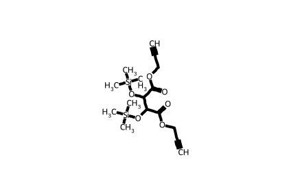 C#CCOC(=O)C(O[Si](C)(C)C)C(O[Si](C)(C)C)C(=O)OCC#C